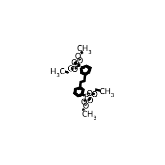 CCOOP(=O)(OOCC)c1cccc(CCc2cccc(P(=O)(OOCC)OOCC)c2)c1